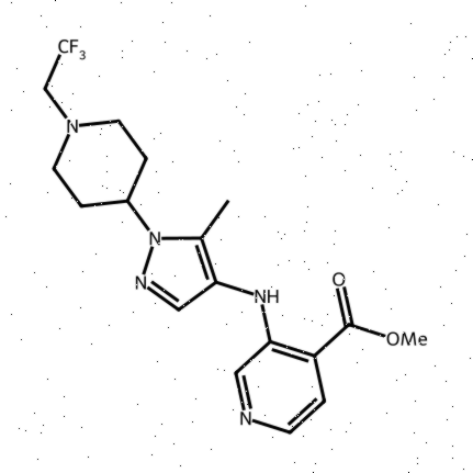 COC(=O)c1ccncc1Nc1cnn(C2CCN(CC(F)(F)F)CC2)c1C